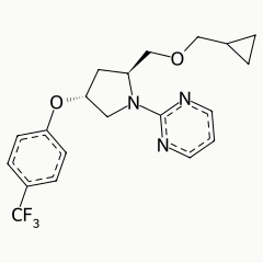 FC(F)(F)c1ccc(O[C@@H]2C[C@@H](COCC3CC3)N(c3ncccn3)C2)cc1